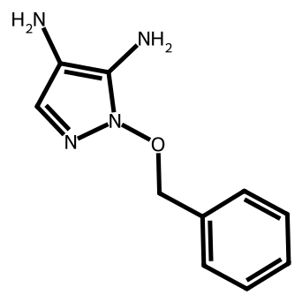 Nc1cnn(OCc2ccccc2)c1N